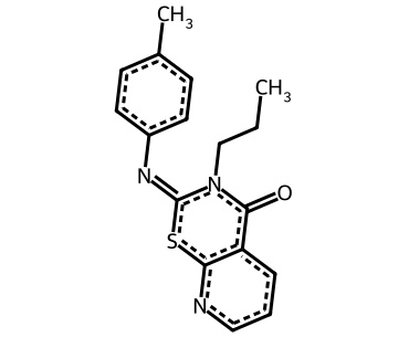 CCCn1c(=Nc2ccc(C)cc2)sc2ncccc2c1=O